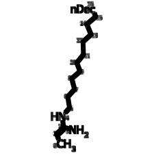 CC=C(N)NCCCCCCCCCCCCCCCCCCCCC